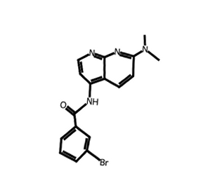 CN(C)c1ccc2c(NC(=O)c3cccc(Br)c3)ccnc2n1